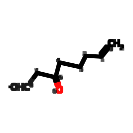 C=CCCCC(=O)C[C]=O